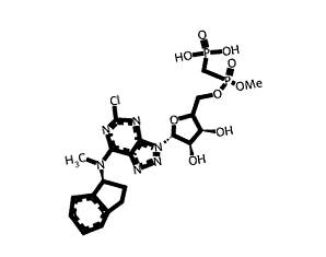 COP(=O)(CP(=O)(O)O)OCC1O[C@@H](n2nnc3c(N(C)[C@H]4CCc5ccccc54)nc(Cl)nc32)[C@H](O)[C@@H]1O